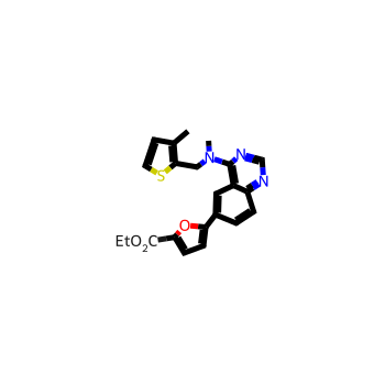 CCOC(=O)c1ccc(-c2ccc3ncnc(N(C)Cc4sccc4C)c3c2)o1